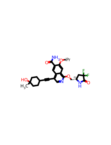 CC(C)Oc1cc2c(OC[C@@H]3CC(F)(F)C(=O)N3)ncc(C#CC3CCC(C)(O)CC3)c2cc1C(N)=O